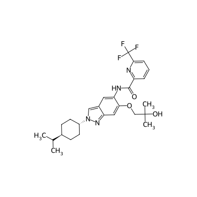 CC(C)[C@H]1CC[C@H](n2cc3cc(NC(=O)c4cccc(C(F)(F)F)n4)c(OCC(C)(C)O)cc3n2)CC1